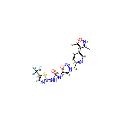 Cc1noc(C)c1-c1ccc(C[n+]2cc([N-]C(=O)Nc3ncc(C(F)(F)F)s3)on2)nc1